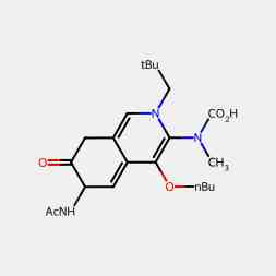 CCCCOC1=C(N(C)C(=O)O)N(CC(C)(C)C)C=C2CC(=O)C(NC(C)=O)C=C21